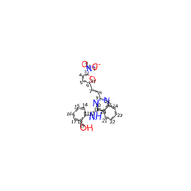 O=[N+]([O-])c1ccc(/C=C/c2nc(Nc3ccccc3O)c3ccccc3n2)o1